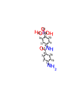 Nc1ccc(C(=O)Nc2ccc(P(=O)(O)O)cc2)cc1